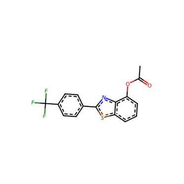 CC(=O)Oc1cccc2sc(-c3ccc(C(F)(F)F)cc3)nc12